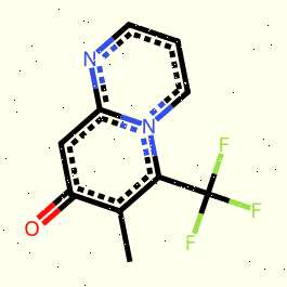 Cc1c(C(F)(F)F)n2cccnc2cc1=O